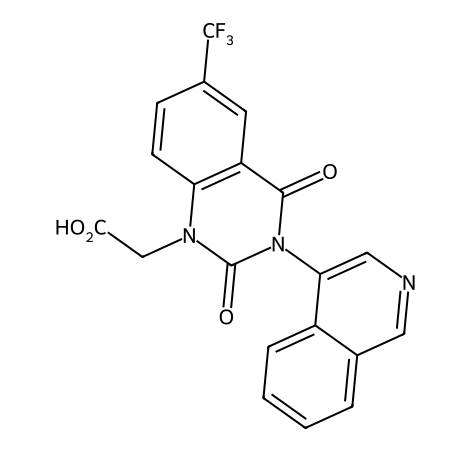 O=C(O)Cn1c(=O)n(-c2cncc3ccccc23)c(=O)c2cc(C(F)(F)F)ccc21